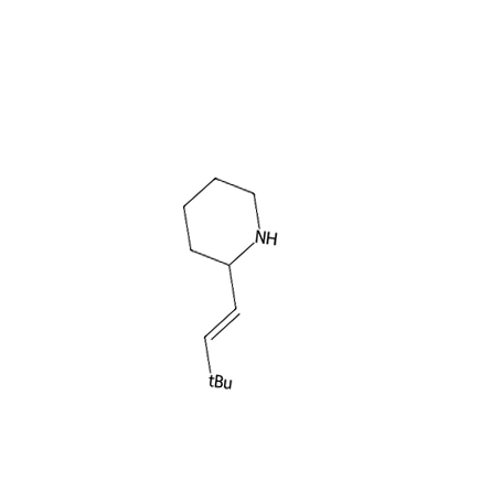 CC(C)(C)/C=C/C1CCCCN1